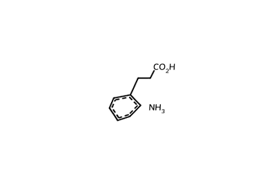 N.O=C(O)CCc1ccccc1